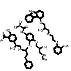 CC(CCc1ccccc1)NCC(O)c1ccc(O)c(C(N)=O)c1.CCN(CC)C(=O)Nc1ccc(OCC(O)CNC(C)(C)C)c(C(C)=O)c1.COc1ccccc1OCCNCC(O)COc1cccc2[nH]c3ccccc3c12